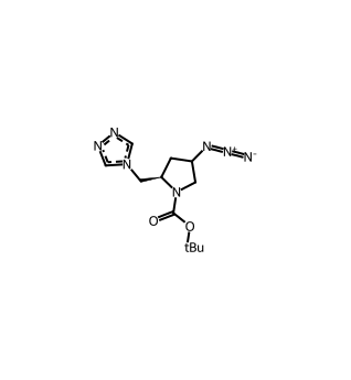 CC(C)(C)OC(=O)N1CC(N=[N+]=[N-])C[C@@H]1Cn1cnnc1